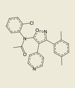 CC(=O)N(c1ccccc1Cl)c1onc(-c2cc(C)ccc2C)c1-c1ccncc1